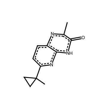 Cc1nc2ccc(C3(C)CC3)nc2[nH]c1=O